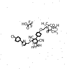 CCCNc1nc(SCc2csc(-c3ccc(Cl)cc3)n2)c(C#N)c(-c2ccc(OCCN(C(=O)[C@H](C)N)[C@@H](C)C(=O)O)cc2)c1C#N.O=C(O)C(F)(F)F